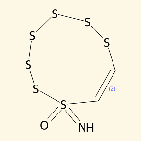 N=S1(=O)/C=C\SSSSSS1